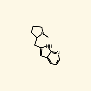 CN1CCCC1Cc1cc2cccnc2[nH]1